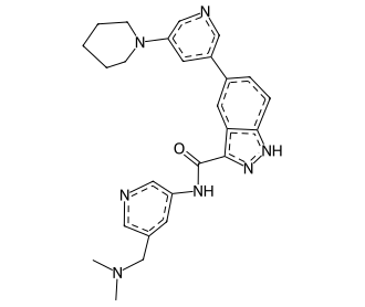 CN(C)Cc1cncc(NC(=O)c2n[nH]c3ccc(-c4cncc(N5CCCCC5)c4)cc23)c1